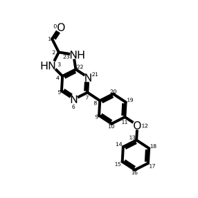 O=CC1Nc2cnc(-c3ccc(Oc4ccccc4)cc3)nc2N1